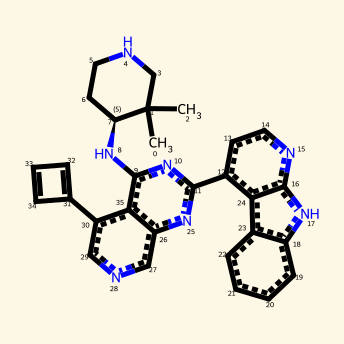 CC1(C)CNCC[C@@H]1Nc1nc(-c2ccnc3[nH]c4ccccc4c23)nc2cncc(C3=CC=C3)c12